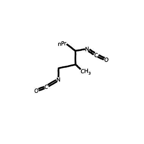 CCCC(N=C=O)C(C)CN=C=O